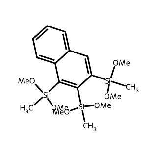 CO[Si](C)(OC)c1cc2ccccc2c([Si](C)(OC)OC)c1[Si](C)(OC)OC